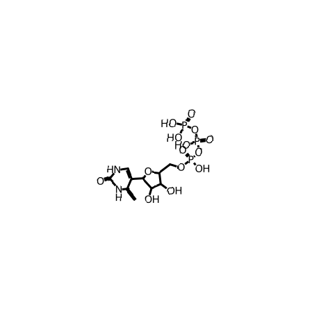 C=C1NC(=O)NC=C1C1OC(COP(=O)(O)OP(=O)(O)OP(=O)(O)O)C(O)C1O